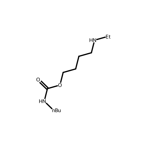 CCCCNC(=O)OCCCCNCC